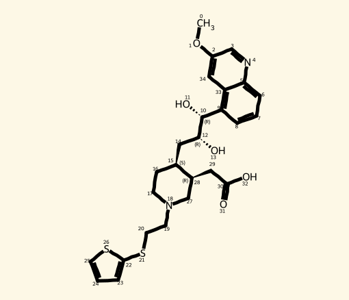 COc1cnc2cccc([C@@H](O)[C@H](O)C[C@@H]3CCN(CCSc4cccs4)C[C@@H]3CC(=O)O)c2c1